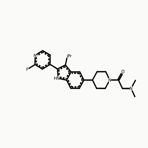 CC(C)c1c(-c2ccnc(F)c2)[nH]c2ccc(C3CCN(C(=O)CN(C)C)CC3)cc12